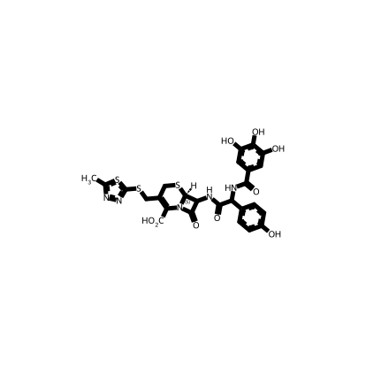 Cc1nnc(SCC2=C(C(=O)O)N3C(=O)C(NC(=O)C(NC(=O)c4cc(O)c(O)c(O)c4)c4ccc(O)cc4)[C@@H]3SC2)s1